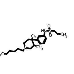 CCCCCCN1CCC(C)(c2cccc(NS(=O)(=O)CCC)c2)C(C)C1